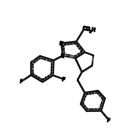 O=C(O)c1nn(-c2ccc(F)cc2F)c2c1CCC2Cc1ccc(F)cc1